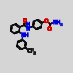 NC(=O)Oc1ccc(NC(=O)c2ccccc2Nc2cccc(C(F)(F)F)c2)cc1